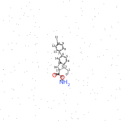 CCC1c2ccc(-c3ccc(C)cc3)cc2CC1C(=O)ON